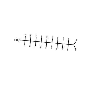 O=S(=O)(O)C(F)(F)C(F)(F)C(F)(F)C(F)(F)C(F)(F)C(F)(F)C(F)(F)C(F)(F)C(F)(F)C(F)F